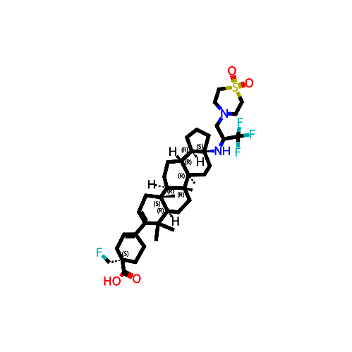 CC1(C)C(C2=CC[C@](CF)(C(=O)O)CC2)=CC[C@]2(C)[C@H]3CC[C@@H]4[C@H]5CCC[C@]5(NC(CN5CCS(=O)(=O)CC5)C(F)(F)F)CC[C@@]4(C)[C@]3(C)CC[C@@H]12